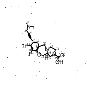 CN(C)CC#Cc1cc2c(c(F)c1Br)OC[C@H]1CN(C(=O)O)CCN1C2